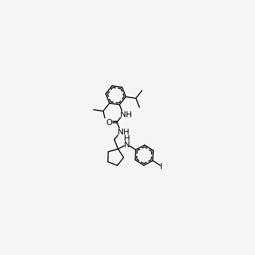 CC(C)c1cccc(C(C)C)c1NC(=O)NCC1(Nc2ccc(I)cc2)CCCC1